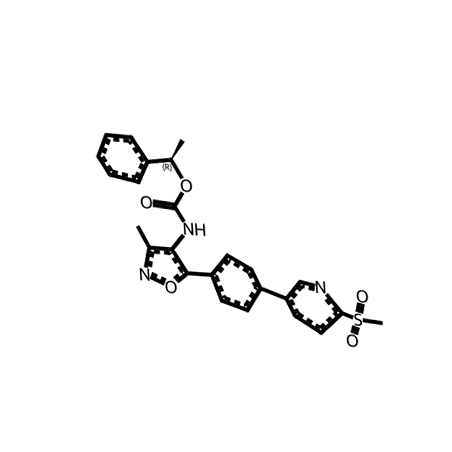 Cc1noc(-c2ccc(-c3ccc(S(C)(=O)=O)nc3)cc2)c1NC(=O)O[C@H](C)c1ccccc1